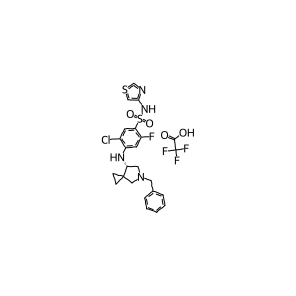 O=C(O)C(F)(F)F.O=S(=O)(Nc1cscn1)c1cc(Cl)c(N[C@@H]2CN(Cc3ccccc3)CC23CC3)cc1F